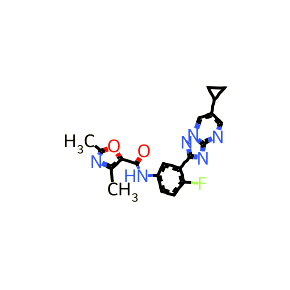 Cc1nc(C)c(C(=O)Nc2ccc(F)c(-c3nc4ncc(C5CC5)cn4n3)c2)o1